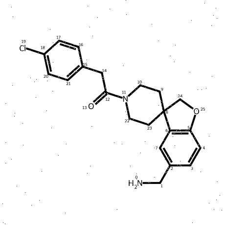 NCc1ccc2c(c1)C1(CCN(C(=O)Cc3ccc(Cl)cc3)CC1)CO2